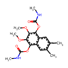 CNC(=O)Oc1c(OC)c(OC)c(OC(=O)NC)c2cc(C)c(C)cc12